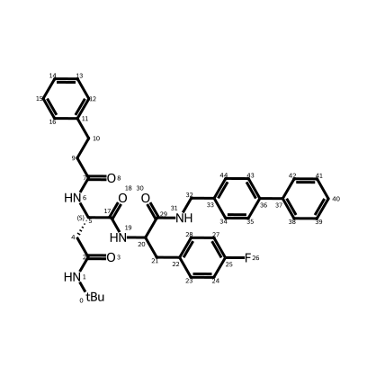 CC(C)(C)NC(=O)C[C@H](NC(=O)CCc1ccccc1)C(=O)NC(Cc1ccc(F)cc1)C(=O)NCc1ccc(-c2ccccc2)cc1